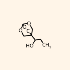 CCC(O)C12COC(OC1)OC2